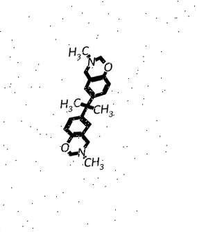 CN1COc2ccc(C(C)(C)c3ccc4c(c3)CN(C)CO4)cc2C1